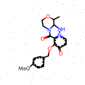 COc1ccc(COc2c3n(ccc2=O)NC2C(C)OCCN2C3=O)cc1